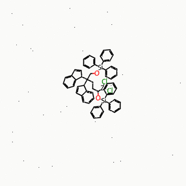 [Cl][Zr]([Cl])[CH](CCC(CO[Si](c1ccccc1)(c1ccccc1)c1ccccc1)(C1C=Cc2ccccc21)C1C=Cc2ccccc21)O[Si](c1ccccc1)(c1ccccc1)c1ccccc1